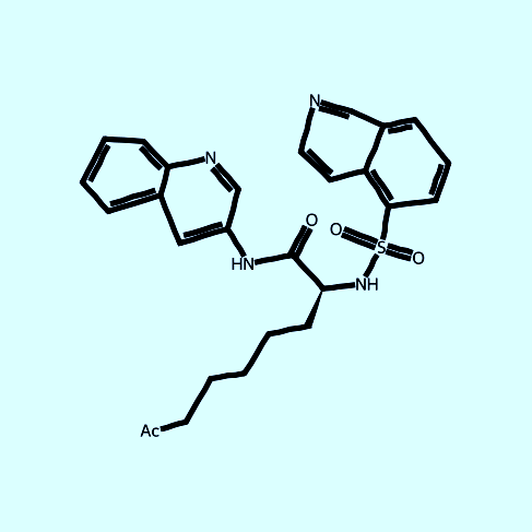 CC(=O)CCCCC[C@H](NS(=O)(=O)c1cccc2cnccc12)C(=O)Nc1cnc2ccccc2c1